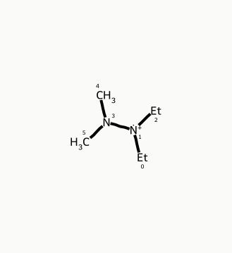 CC[N+](CC)N(C)C